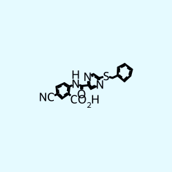 N#Cc1ccc(NC(=O)c2cnc(SCc3ccccc3)cn2)c(C(=O)O)c1